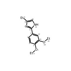 CCOc1ccc(-c2nc(CC)c[nH]2)cc1OCC